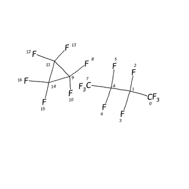 FC(F)(F)C(F)(F)C(F)(F)C(F)(F)F.FC1(F)C(F)(F)C1(F)F